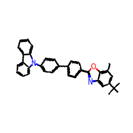 Cc1cc(C(C)(C)C)cc2nc(-c3ccc(-c4ccc(-n5c6ccccc6c6ccccc65)cc4)cc3)oc12